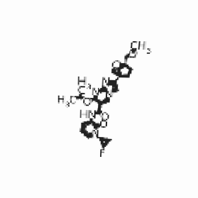 COC[C@]12CC[C@](c3cn4cc(C(=O)Nc5cccn([C@@H]6C[C@@H]6F)c5=O)c(OC(C)C)nc4n3)(CO1)C2